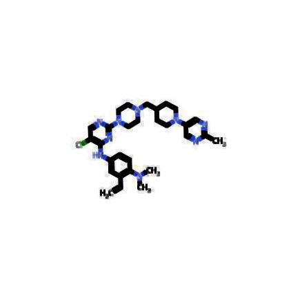 C=Cc1cc(Nc2nc(N3CCN(CC4CCN(c5cnc(C)nc5)CC4)CC3)ncc2Cl)ccc1N(C)C